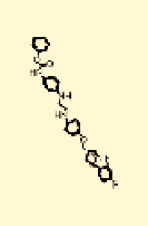 C[C@]1(c2ccc(F)cc2F)C[C@H](COc2ccc(NCCNc3ccc(NC(=O)Oc4ccccc4)cc3)cc2)CO1